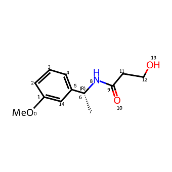 COc1cccc([C@@H](C)NC(=O)CCO)c1